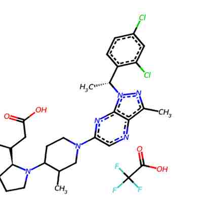 Cc1nn([C@H](C)c2ccc(Cl)cc2Cl)c2nc(N3CCC(N4CCC[C@H]4C(C)CC(=O)O)C(C)C3)cnc12.O=C(O)C(F)(F)F